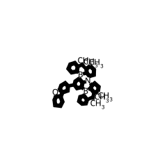 Cc1ccc2c3c1C(C)(C)c1ccccc1B3c1cc(-c3ccc4oc5ccccc5c4c3)cc3c1N2c1ccc(C)c2c1B3c1ccccc1C2(C)C